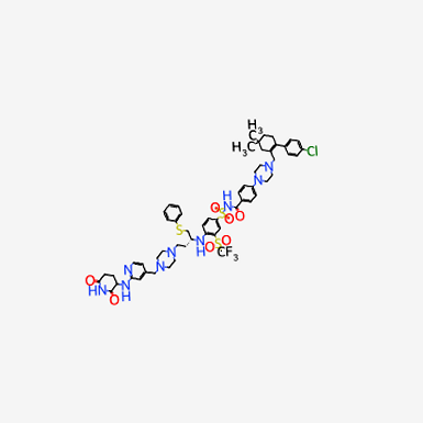 CC1(C)CCC(c2ccc(Cl)cc2)=C(CN2CCN(c3ccc(C(=O)NS(=O)(=O)c4ccc(N[C@H](CCN5CCN(Cc6ccnc(NC7CCC(=O)NC7=O)c6)CC5)CSc5ccccc5)c(S(=O)(=O)C(F)(F)F)c4)cc3)CC2)C1